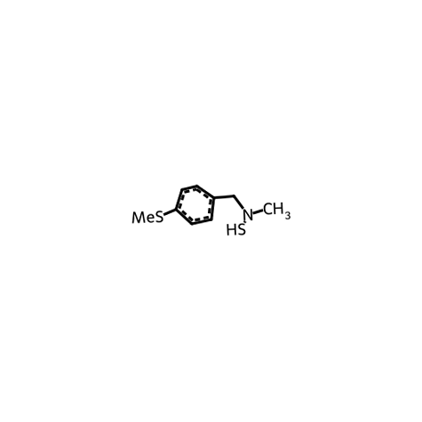 CSc1ccc(CN(C)S)cc1